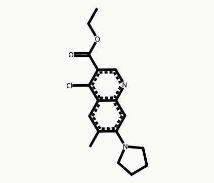 CCOC(=O)c1cnc2cc(N3CCCC3)c(C)cc2c1Cl